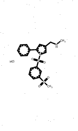 CNCc1cc(-c2ccccc2)n(S(=O)(=O)c2cccc(S(C)(=O)=O)c2)c1.Cl